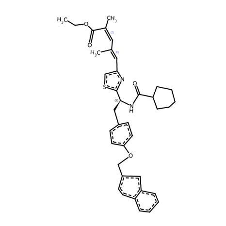 CCOC(=O)/C(C)=C\C(C)=C\c1csc([C@H](Cc2ccc(OCc3ccc4ccccc4c3)cc2)NC(=O)C2CCCCC2)n1